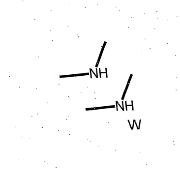 CNC.CNC.[W]